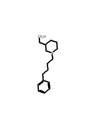 O=C(O)CC1CCCN(CCCCc2ccccc2)C1